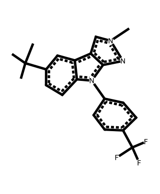 Cn1cc2c3cc(C(C)(C)C)ccc3n(-c3ccc(C(F)(F)F)cc3)c2n1